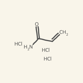 C=CC(N)=O.Cl.Cl.Cl